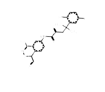 CC1=NOC(C=O)c2ccc(NC(=O)C(=O)CC(C)(C)c3cc(F)ccc3Br)cc21